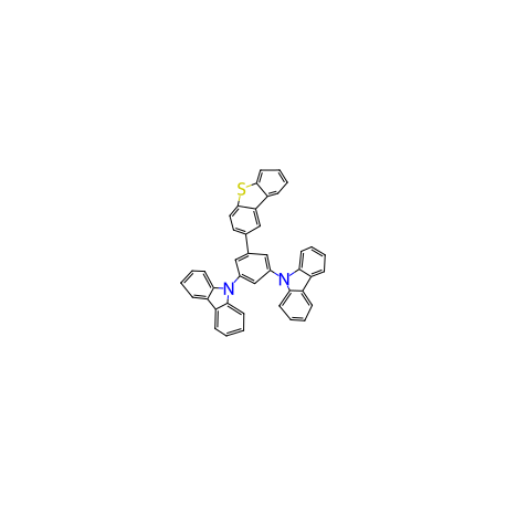 c1ccc2c(c1)sc1ccc(-c3cc(-n4c5ccccc5c5ccccc54)cc(-n4c5ccccc5c5ccccc54)c3)cc12